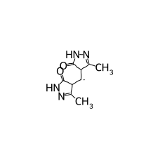 CC1=NNC(=O)C1[CH]C1C(=O)NN=C1C